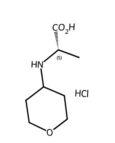 C[C@H](NC1CCOCC1)C(=O)O.Cl